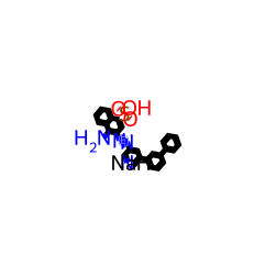 Nc1c(/N=N/c2cncc(-c3cccc(-c4ccccc4)c3)c2)cc(S(=O)(=O)O)c2ccccc12.[NaH]